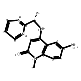 C[C@H](Nc1cc(=O)n(C)c2ccc(N)cc12)c1ncccn1